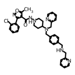 Cc1onc(-c2ccccc2Cl)c1C(=O)NN1CCC(N(Cc2ccc(CNCc3ccccn3)cc2)Cc2ccccn2)CC1